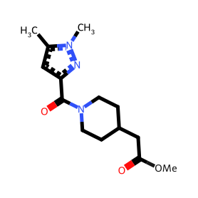 COC(=O)CC1CCN(C(=O)c2cc(C)n(C)n2)CC1